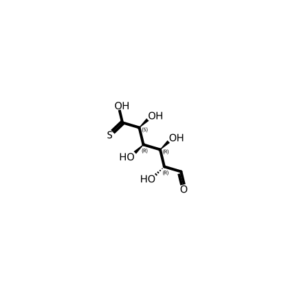 O=C[C@H](O)[C@H](O)[C@@H](O)[C@H](O)C(O)=S